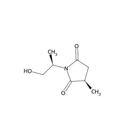 C[C@@H]1CC(=O)N([C@H](C)CO)C1=O